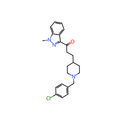 Cn1nc(C(=O)CCC2CCN(Cc3ccc(Cl)cc3)CC2)c2ccccc21